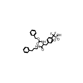 O=C(NC(Cc1ccc(C(F)(F)P(=O)(O)O)cc1)C(=O)NCCCc1ccccc1)OCc1ccccc1